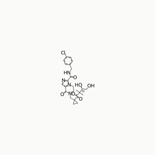 CC(C)([C@@H](O)CO)S(=O)(=O)C1(CN2CCn3c(cnc3C(=O)NCc3ccc(Cl)cc3)C2=O)CC1